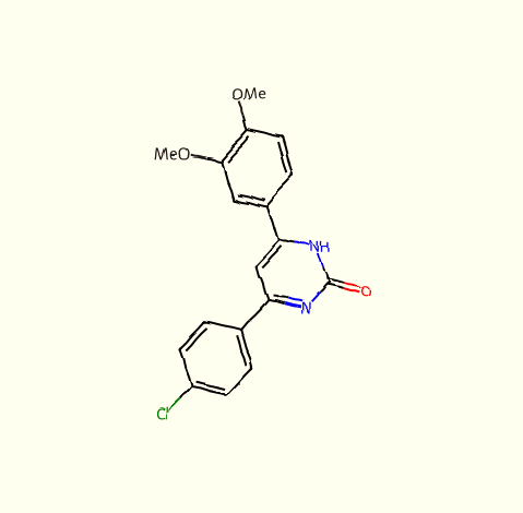 COc1ccc(-c2cc(-c3ccc(Cl)cc3)nc(=O)[nH]2)cc1OC